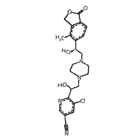 Cc1c([C@H](O)CN2CCN(CC(O)c3ncc(C#N)cc3Cl)CC2)ccc2c1COC2=O